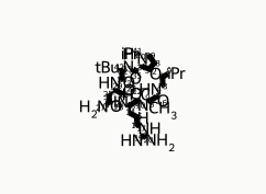 CC(C)C(=O)CNC(=O)C(C)(C)NC(=O)[C@@H](CCCNC(=N)N)NC(=O)[C@@H](CC(N)=O)NC(=O)[C@H](NC(=O)[C@H]1CCCN1C(C)C)C(C)(C)C